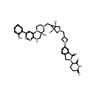 O=C1CCC(N2Cc3ccc(N4CC(CN5C[C@@H]6C(CN7CCN8c9cc(-c%10ccccc%10O)nnc9NC[C@H]8C7)[C@@H]6C5)C4)cc3C2=O)C(=O)N1